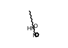 CCCCCCCCCC(=O)NCCc1ccccn1